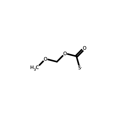 COCOC(=O)[S]